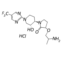 CC(N)COC1CCN([C@@H]2CCN(c3ncc(C(F)(F)F)cn3)C[C@H]2O)C1=O.Cl